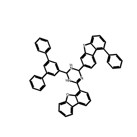 c1ccc(-c2cc(-c3ccccc3)cc(C3NC(c4cccc5c4oc4ccccc45)=NC(c4ccc5c(c4)sc4cccc(-c6ccccc6)c45)N3)c2)cc1